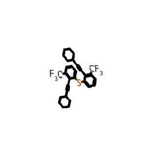 FC(F)(F)c1cccc(Sc2cccc(C(F)(F)F)c2C#CC2CCCCC2)c1C#CC1CCCCC1